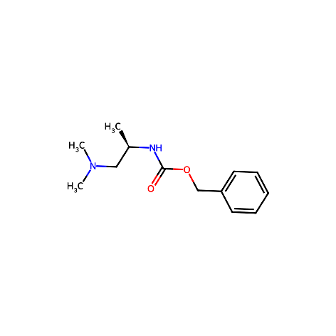 C[C@H](CN(C)C)NC(=O)OCc1ccccc1